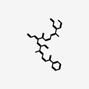 C=CC=C(/C=C\C)/C(C)=C/C=C\C(=C)C(=C/C=C)/C=C(C=C)/C(C)=C/C=C\C(=C)c1ccccc1